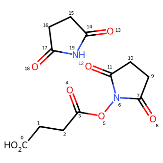 O=C(O)CCC(=O)ON1C(=O)CCC1=O.O=C1CCC(=O)N1